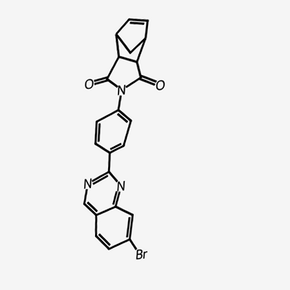 O=C1C2C3C=CC(C3)C2C(=O)N1c1ccc(-c2ncc3ccc(Br)cc3n2)cc1